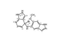 COc1cc2[nH]ncc2cc1NC1(Br)N=CN=C2NNC=C21